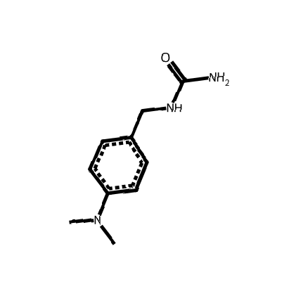 CN(C)c1ccc(CNC(N)=O)cc1